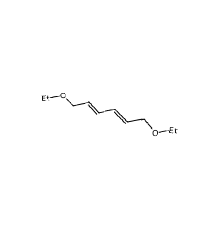 CCOCC=CC=CCOCC